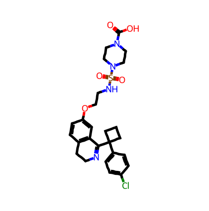 O=C(O)N1CCN(S(=O)(=O)NCCOc2ccc3c(c2)C(C2(c4ccc(Cl)cc4)CCC2)=NCC3)CC1